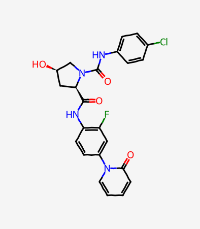 O=C(Nc1ccc(-n2ccccc2=O)cc1F)[C@H]1C[C@@H](O)CN1C(=O)Nc1ccc(Cl)cc1